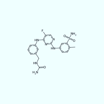 Cc1ccc(Nc2ncc(F)c(Nc3cccc(CNC(N)=O)c3)n2)cc1S(N)(=O)=O